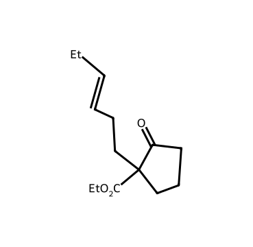 CC/C=C/CCC1(C(=O)OCC)CCCC1=O